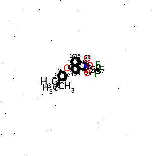 CC(C)(C)c1ccc(Oc2ccc3c4c(cccc24)C(=O)N(OSC(F)(F)F)C3=O)cc1